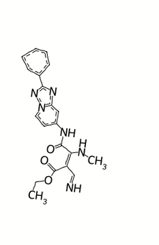 CCOC(=O)/C(C=N)=C(/NC)C(=O)Nc1ccn2nc(-c3ccccc3)nc2c1